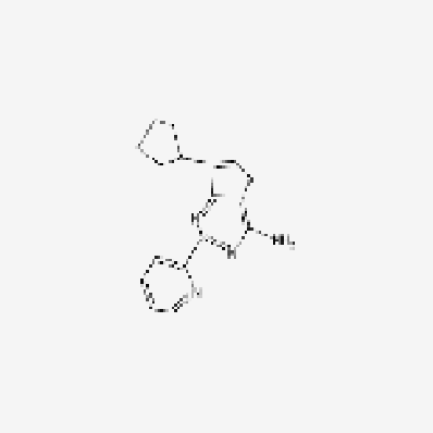 Nc1nc(-c2ccccn2)nc2c(C3CCCC3)csc12